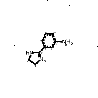 Nc1[c]c(C2=NCCN2)ccc1